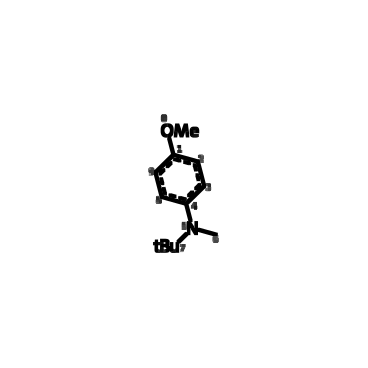 COc1ccc(N(C)C(C)(C)C)cc1